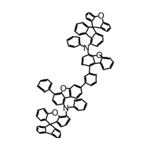 c1ccc(-c2ccc(N(c3ccccc3)c3cccc4c3Oc3ccccc3C43c4ccccc4-c4ccccc43)c3c2oc2cc(-c4cccc(-c5ccc(N(c6ccccc6)c6cccc7c6-c6ccccc6C76c7ccccc7Oc7ccccc76)c6oc7ccccc7c56)c4)ccc23)cc1